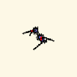 CCCCCCCCCCCCN1CCN(C)/C1=N/P(=O)(OC)OCCCOP(=O)(/N=C1\N(C)CCN1CCCCCCCCCCCC)OCCCOP(=O)(/N=C1/N(C)CCN1CCCCCCCCCCCC)OCCCCCCC